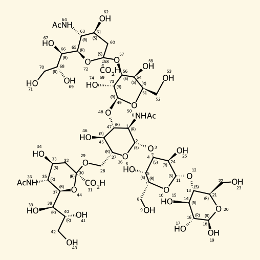 CC(=O)N[C@H]1[C@H](O[C@H]2[C@@H](O)[C@@H](CO)O[C@@H](O[C@H]3[C@H](O)[C@@H](O)[C@H](O)O[C@@H]3CO)[C@@H]2O)O[C@H](CO[C@]2(C(=O)O)C[C@H](O)[C@@H](NC(C)=O)[C@H]([C@H](O)[C@H](O)CO)O2)[C@@H](O)[C@@H]1O[C@@H]1O[C@H](CO)[C@H](O)[C@H](O[C@]2(C(=O)O)C[C@H](O)[C@@H](NC(C)=O)[C@H]([C@H](O)[C@H](O)CO)O2)[C@H]1O